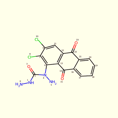 NNC(=O)N(N)c1c(Cl)c(Cl)cc2c1C(=O)c1ccccc1C2=O